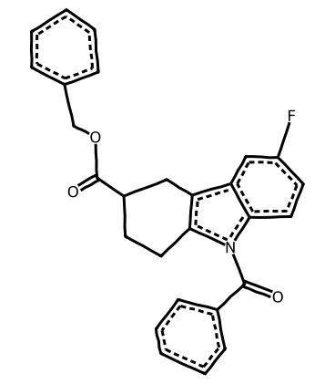 O=C(OCc1ccccc1)C1CCc2c(c3cc(F)ccc3n2C(=O)c2ccccc2)C1